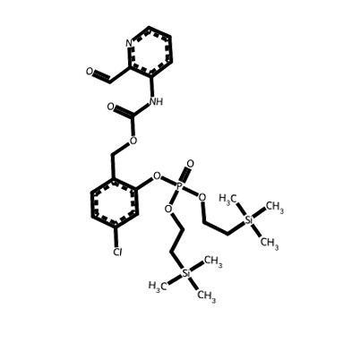 C[Si](C)(C)CCOP(=O)(OCC[Si](C)(C)C)Oc1cc(Cl)ccc1COC(=O)Nc1cccnc1C=O